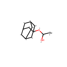 CCC(C)C(O)OC12CC3CC(CC(C3)C1)C2